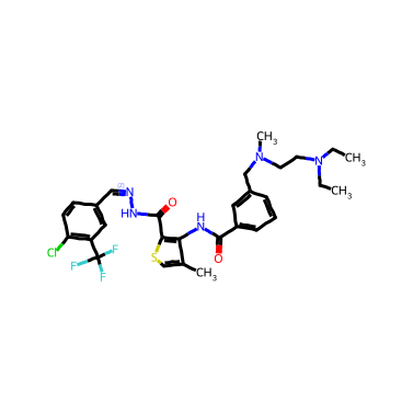 CCN(CC)CCN(C)Cc1cccc(C(=O)Nc2c(C)csc2C(=O)N/N=C\c2ccc(Cl)c(C(F)(F)F)c2)c1